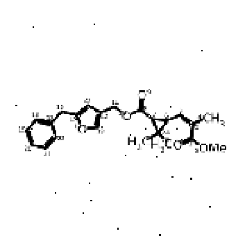 COC(=O)/C(C)=C\C1C(C(=O)OCc2coc(Cc3ccccc3)c2)C1(C)C